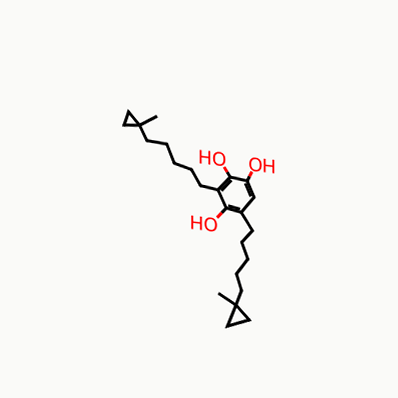 CC1(CCCCCc2cc(O)c(O)c(CCCCCC3(C)CC3)c2O)CC1